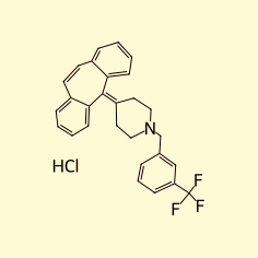 Cl.FC(F)(F)c1cccc(CN2CCC(=C3c4ccccc4C=Cc4ccccc43)CC2)c1